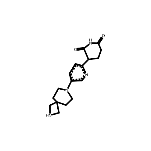 O=C1CCC(c2ccc(N3CCC4(CC3)CNC4)cn2)C(=O)N1